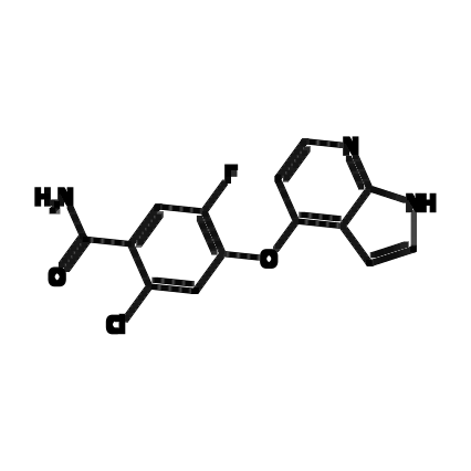 NC(=O)c1cc(F)c(Oc2ccnc3[nH]ccc23)cc1Cl